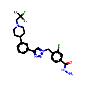 CCC(F)(CC)CN1CCC(c2cccc(-c3cn(Cc4ccc(C(=O)NN)cc4F)nn3)c2)CC1